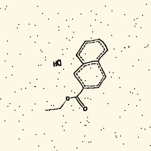 CCOC(=O)c1ccc2ccccc2c1.Cl